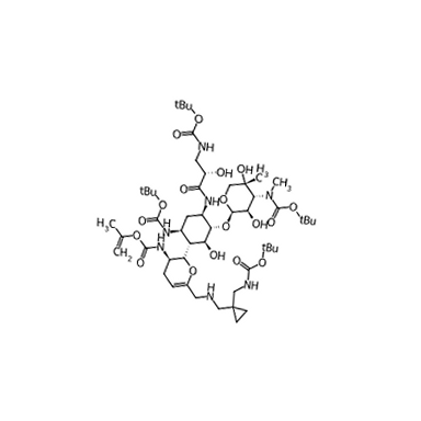 C=C(C)OC(=O)N[C@@H]1CC=C(CNCC2(CNC(=O)OC(C)(C)C)CC2)OC1[C@H]1[C@H](O)[C@@H](O[C@H]2OC[C@](C)(O)[C@H](N(C)C(=O)OC(C)(C)C)[C@H]2O)[C@H](NC(=O)[C@@H](O)CNC(=O)OC(C)(C)C)C[C@@H]1NC(=O)OC(C)(C)C